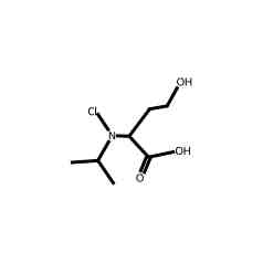 CC(C)N(Cl)C(CCO)C(=O)O